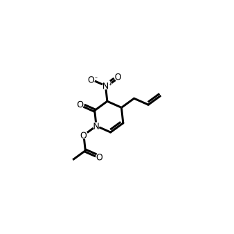 C=CCC1C=CN(OC(C)=O)C(=O)C1[N+](=O)[O-]